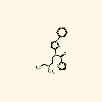 CCN(C)CCN(C(=O)c1cccs1)c1ccn(-c2ccccc2)n1